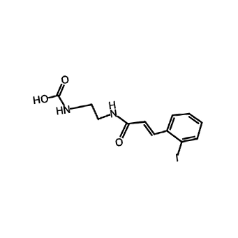 O=C(O)NCCNC(=O)C=Cc1ccccc1I